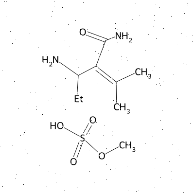 CCC(N)C(C(N)=O)=C(C)C.COS(=O)(=O)O